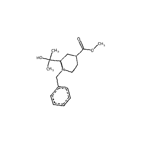 COC(=O)C1CCN(Cc2ccccc2)C(C(C)(C)O)C1